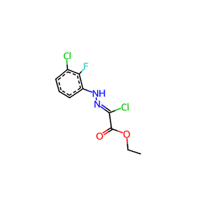 CCOC(=O)C(Cl)=NNc1cccc(Cl)c1F